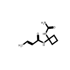 C/C=C/C(=O)NC1(NC(N)=O)CCC1